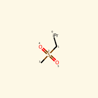 CC(C)[CH]S(C)(=O)=O